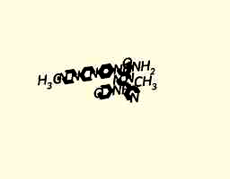 Cc1cnccc1-c1nc(C(N)=O)c(Nc2ccc(N3CCC(N4CCN(C)CC4)CC3)cc2)nc1NC1CCOCC1